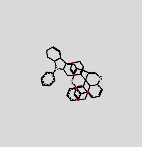 C1=CC2SC3C=CCC(C4=CCC5C(=C4)C4C=CCCC4N5c4ccccc4)C3C3(C4=CCCC=C4SC4=C3CCC=C4)C2C(c2ccccc2)=C1